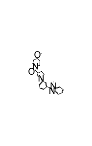 COC1CCN(C(=O)C2CCN(c3cccc(-c4nc5ccccc5n4C)c3)C2)CC1